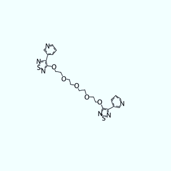 c1cncc(-c2nsnc2OCCOCCOCCOCCOc2nsnc2-c2cccnc2)c1